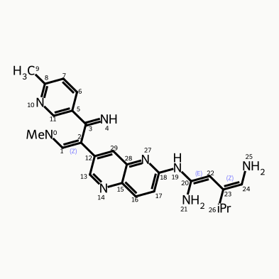 CN/C=C(\C(=N)c1ccc(C)nc1)c1cnc2ccc(N/C(N)=C/C(=C\N)C(C)C)nc2c1